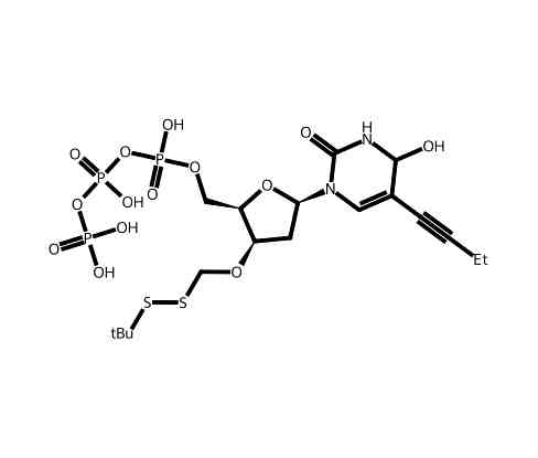 CCC#CC1=CN([C@H]2C[C@@H](OCSSC(C)(C)C)[C@@H](COP(=O)(O)OP(=O)(O)OP(=O)(O)O)O2)C(=O)NC1O